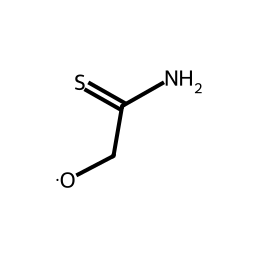 NC(=S)C[O]